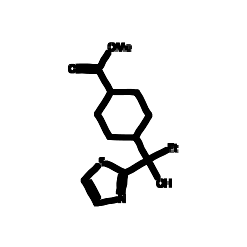 CCC(O)(c1nccs1)C1CCC(C(=O)OC)CC1